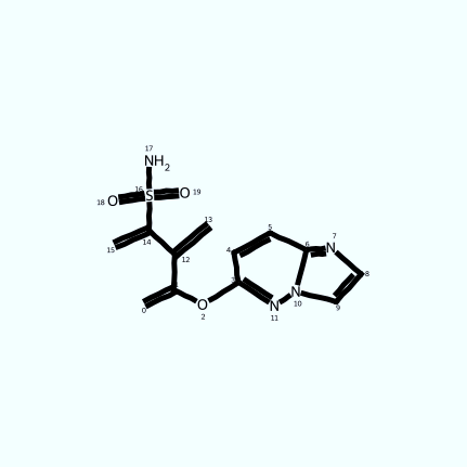 C=C(Oc1ccc2nccn2n1)C(=C)C(=C)S(N)(=O)=O